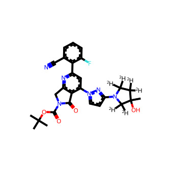 [2H]C1([2H])N(c2ccn(-c3cc(-c4c(F)cccc4C#N)nc4c3C(=O)N(C(=O)OC(C)(C)C)C4)n2)C([2H])([2H])C(C)(O)C1([2H])[2H]